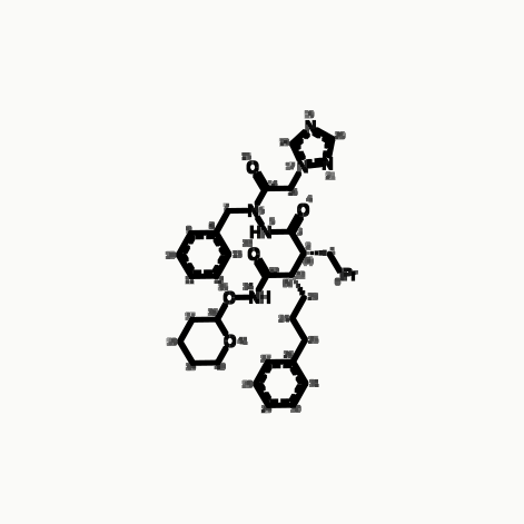 CC(C)C[C@@H](C(=O)NN(Cc1ccccc1)C(=O)Cn1cncn1)[C@H](CCCc1ccccc1)C(=O)NOC1CCCCO1